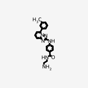 Cc1cccc(-c2cccc3nc(Nc4ccc(C(=O)NCCN)cc4)nn23)c1